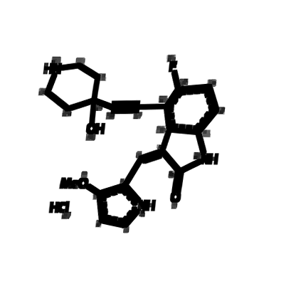 COc1cc[nH]c1C=C1C(=O)Nc2ccc(F)c(C#CC3(O)CCNCC3)c21.Cl